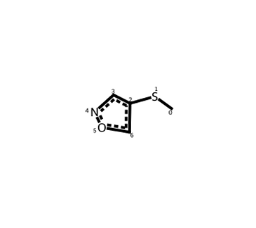 CSc1cnoc1